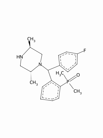 C[C@@H]1CN[C@@H](C)CN1C(c1ccc(F)cc1)c1ccccc1P(C)(C)=O